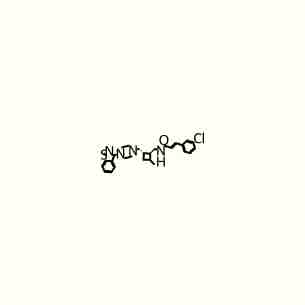 CC1C[C@H](CN2CCN(c3nsc4ccccc34)CC2)[C@H]1CNC(=O)/C=C/c1cccc(Cl)c1